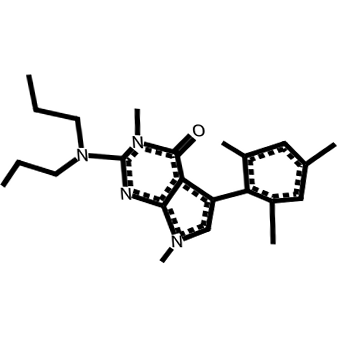 CCCN(CCC)c1nc2c(c(-c3c(C)cc(C)cc3C)cn2C)c(=O)n1C